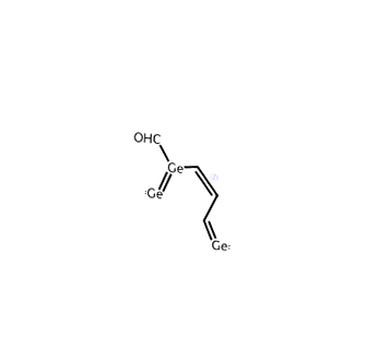 O=[CH][Ge](=[Ge])/[CH]=C\[CH]=[Ge]